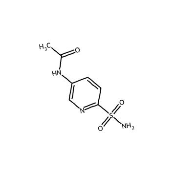 CC(=O)Nc1ccc(S(N)(=O)=O)nc1